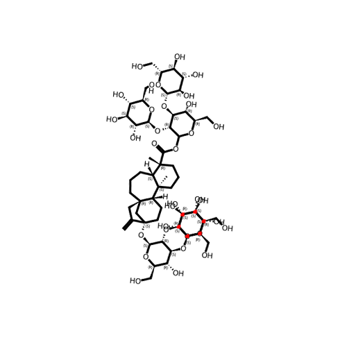 C=C1C[C@@]23CCC[C@H]4[C@@](C)(CCC[C@@]4(C)C(=O)OC4O[C@H](CO)[C@@H](O)[C@H](O[C@@H]5O[C@H](CO)[C@@H](O)[C@H](O)[C@H]5O)[C@H]4O[C@@H]4O[C@H](CO)[C@@H](O)[C@H](O)[C@H]4O)[C@@H]2CC[C@]1(O[C@@H]1O[C@H](CO)[C@@H](O)[C@H](O[C@@H]2O[C@H](CO)[C@@H](O)[C@H](O)[C@H]2O)[C@H]1O[C@@H]1O[C@H](CO)[C@@H](O)[C@H](O)[C@H]1O)C3